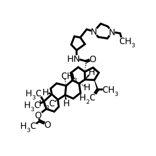 C=C(C)[C@@H]1CC[C@]2(C(=O)NC3CCC(CN4CCN(CC)CC4)C3)CC=C3[C@H](CC[C@@H]4[C@@]5(C)CCC(OC(C)=O)C(C)(C)[C@@H]5CC[C@@]34C)[C@@H]12